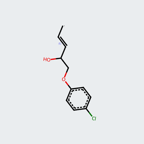 [CH2]/C=C/C(O)COc1ccc(Cl)cc1